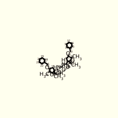 CC12CC(C(=O)NC(=O)NC(=O)[C@@]34C[C@H](OCc5ccccc5)[C@@](C)(C3)OC4(C)C)(CC1OCc1ccccc1)C(C)(C)O2